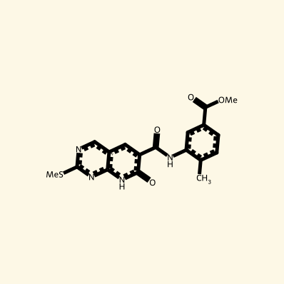 COC(=O)c1ccc(C)c(NC(=O)c2cc3cnc(SC)nc3[nH]c2=O)c1